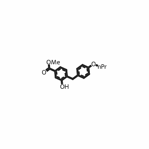 CCCOc1ccc(Cc2ccc(C(=O)OC)cc2O)cc1